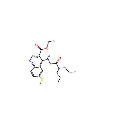 CCCN(CCC)C(=O)CNc1c(C(=O)OCC)cnc2ccc(SC)cc12